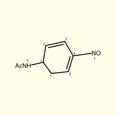 CC(=O)NC1C=CC(N=O)=CC1